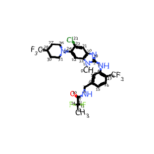 Cn1c(Nc2cc(CNC(=O)C(C)(F)F)ccc2C(F)(F)F)nc2cc(Cl)c(N3CCC(C(F)(F)F)CC3)cc21